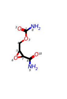 NC(=O)OCC1OC1C(N)=O